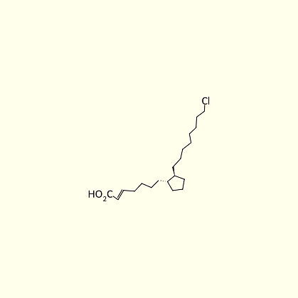 O=C(O)C=CCCCC[C@H]1CCC[C@@H]1CCCCCCCCCl